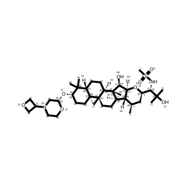 C[C@@H]1C[C@H]([C@H](NS(C)(=O)=O)C(C)(C)O)O[C@H]2[C@H]1[C@@]1(C)CC[C@@]34C[C@@]35CC[C@H](O[C@H]3CN(C6COC6)CCO3)C(C)(C)[C@@H]5CC[C@H]4[C@]1(C)[C@H]2O